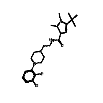 CC1C(C(=O)NCCN2CCN(c3cccc(Cl)c3F)CC2)C=C(C(C)(C)C)N1C